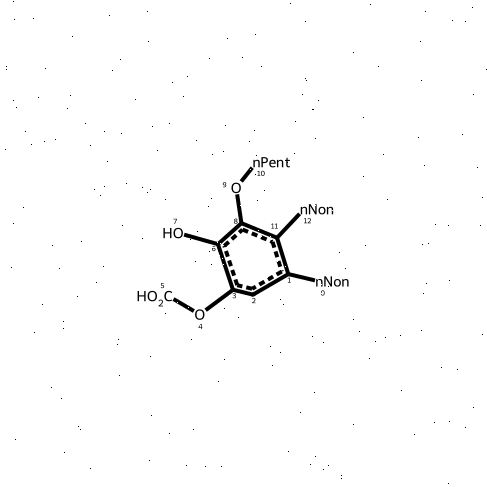 CCCCCCCCCc1cc(OC(=O)O)c(O)c(OCCCCC)c1CCCCCCCCC